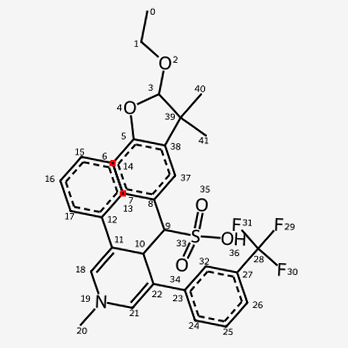 CCOC1Oc2ccc(C(C3C(c4ccccc4)=CN(C)C=C3c3cccc(C(F)(F)F)c3)S(=O)(=O)O)cc2C1(C)C